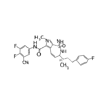 C[C@@H](CCc1ccc(F)cc1)C1C=Cc2c(cn(C)c2C(=O)Nc2cc(F)c(F)c(C#N)c2)S(=N)(=O)N1